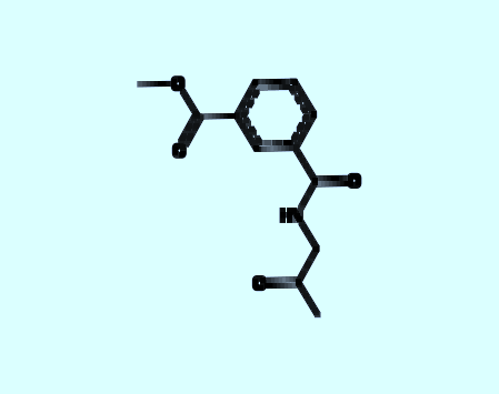 COC(=O)c1cccc(C(=O)NCC(C)=O)c1